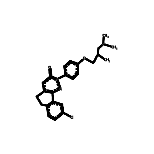 CC(COc1ccc(-n2nc3c(cc2=O)CCc2ccc(Cl)cc2-3)cc1)CN(C)C